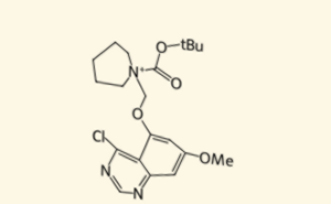 COc1cc(OC[N+]2(C(=O)OC(C)(C)C)CCCCC2)c2c(Cl)ncnc2c1